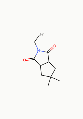 CC(C)CN1C(=O)C2CC(C)(C)CC2C1=O